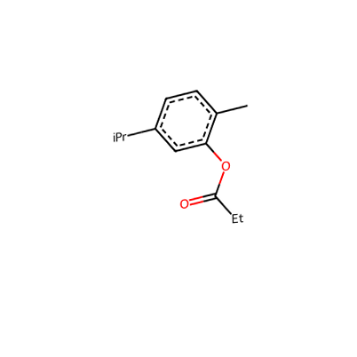 CCC(=O)Oc1cc(C(C)C)ccc1C